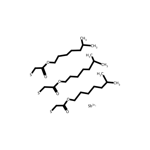 CC(C)CCCCCOC(=O)C[S-].CC(C)CCCCCOC(=O)C[S-].CC(C)CCCCCOC(=O)C[S-].[Sb+3]